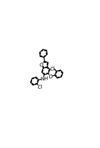 Clc1ccccc1Nc1cc2oc(-c3ccccc3)cc2cc1Oc1ccccc1Cl